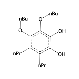 CCCCOc1c(O)c(O)c(CCC)c(CCC)c1OCCCC